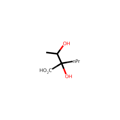 CCCC(O)(C(=O)O)C(C)O